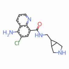 Nc1c(Cl)cc(C(=O)NCC2C3CNCC32)c2ncccc12